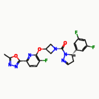 Cc1nnc(-c2ccc(F)c(OC3CN(C(=O)N4N=CC[C@H]4c4cc(F)cc(F)c4)C3)n2)o1